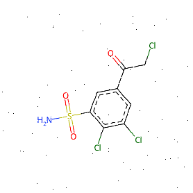 NS(=O)(=O)c1cc(C(=O)CCl)cc(Cl)c1Cl